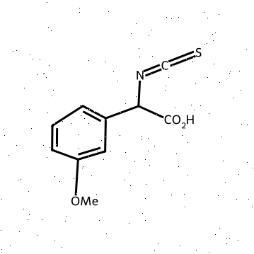 COc1cccc(C(N=C=S)C(=O)O)c1